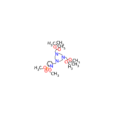 CCOP(=O)(OCC)c1cccc(CN2CCN(CC(=O)OC(C)(C)C)CCN(CC(=O)OC(C)(C)C)CC2)n1